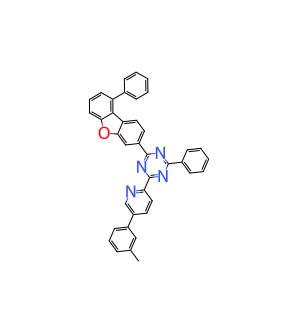 Cc1cccc(-c2ccc(-c3nc(-c4ccccc4)nc(-c4ccc5c(c4)oc4cccc(-c6ccccc6)c45)n3)nc2)c1